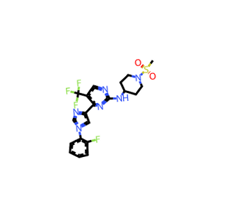 CS(=O)(=O)N1CCC(Nc2ncc(C(F)(F)F)c(-c3cn(-c4ccccc4F)cn3)n2)CC1